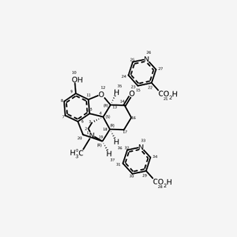 CN1CC[C@]23c4c5ccc(O)c4O[C@H]2C(=O)CC[C@H]3[C@H]1C5.O=C(O)c1cccnc1.O=C(O)c1cccnc1